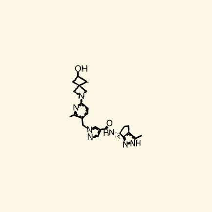 Cc1nc(N2CC3(CC(O)C3)C2)ccc1Cn1cc(C(=O)N[C@@H]2CCc3c2n[nH]c3C)cn1